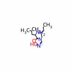 CCCCCN(/C=N\O)C(=O)C(N)CC(C)C